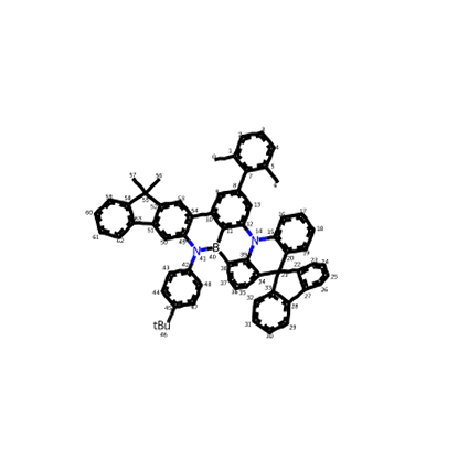 Cc1cccc(C)c1-c1cc2c3c(c1)N1c4ccccc4C4(c5ccccc5-c5ccccc54)c4cccc(c41)B3N(c1ccc(C(C)(C)C)cc1)c1cc3c(cc1-2)C(C)(C)c1ccccc1-3